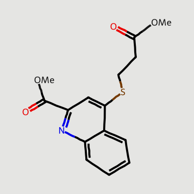 COC(=O)CCSc1cc(C(=O)OC)nc2ccccc12